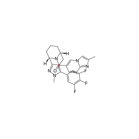 Cc1cn2cc(C(=O)N3[C@@H]4CCC[C@H]3c3nn(C)c(-c5cc(F)c(F)c(F)c5)c3C4)ccc2n1